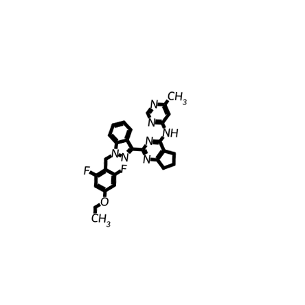 CCOc1cc(F)c(Cn2nc(-c3nc4c(c(Nc5cc(C)ncn5)n3)CCC4)c3ccccc32)c(F)c1